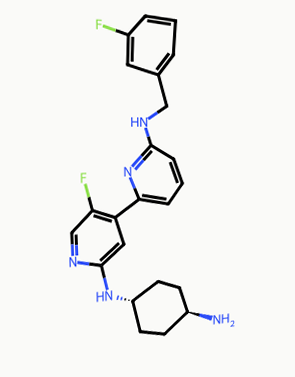 N[C@H]1CC[C@H](Nc2cc(-c3cccc(NCc4cccc(F)c4)n3)c(F)cn2)CC1